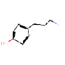 [NH]CCCc1ccc(O)cc1